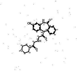 O=C1Nc2cc(Cl)ccc2N(C(=O)CNCC(=O)N2CCOCC2)c2ccccc21